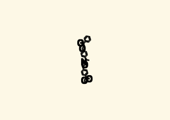 COC(=O)c1ccc(CO/N=C(\C)c2ccc(OCC(=O)c3ccccc3)cc2)cc1